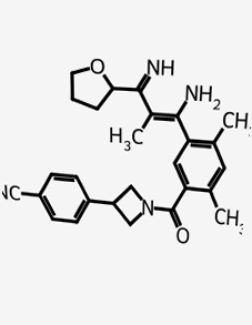 C/C(C(=N)C1CCCO1)=C(/N)c1cc(C(=O)N2CC(c3ccc(C#N)cc3)C2)c(C)cc1C